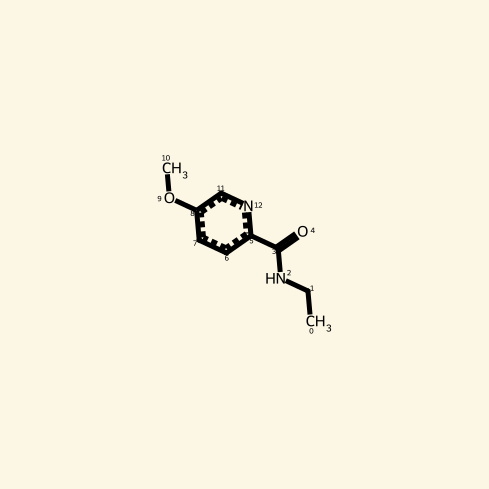 CCNC(=O)c1ccc(OC)cn1